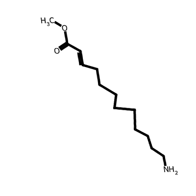 COC(=O)C=CCCCCCCCCCN